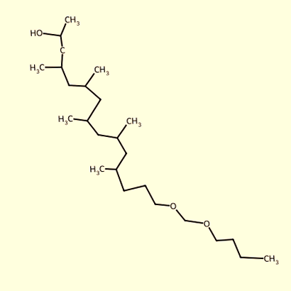 CCCCOCOCCCC(C)CC(C)CC(C)CC(C)CC(C)CC(C)O